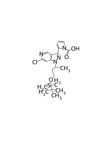 CC(CCO[Si](C)(C)C(C)(C)C)n1nc(-c2cccn2C(=O)O)c2cnc(Cl)cc21